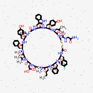 CCCC[C@H]1C(=O)N(C)CC(=O)N[C@@H](CC(=O)O)C(=O)N[C@@H](C(C)C)C(=O)N(C)[C@@H](Cc2ccccc2)C(=O)N[C@@H](Cc2ccc(O)cc2)C(=O)N(C)CC(=O)N[C@@H](Cc2c[nH]c3ccccc23)C(=O)N[C@@H](Cc2ccc(O)cc2)C(=O)N[C@@H](CC(C)C)C(=O)N[C@H](C(=O)NCC(N)=O)CSCC(=O)N[C@@H](Cc2ccc(F)cc2)C(=O)N(C)[C@@H](Cc2ccccc2)C(=O)N1C